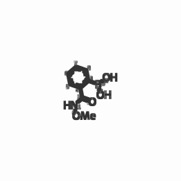 CONC(=O)c1ccccc1B(O)O